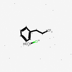 FC(F)(F)CCc1ccccc1.O=S(=O)(O)Cl